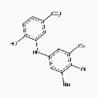 CC(C)(C)c1cc(Nc2cc(C(=O)O)ccc2O)cc(C(C)(C)C)c1O